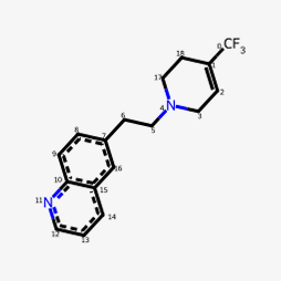 FC(F)(F)C1=CCN(CCc2ccc3ncccc3c2)CC1